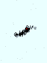 COC(=O)c1ccccc1S(=O)(=O)N1CCN(C(=O)O[C@H]2CC[C@@]3(C)[C@H](CC[C@@H]4[C@@H]3CC[C@]3(C)[C@@H](c5ccc(=O)oc5)CC[C@]43O)C2)CC1